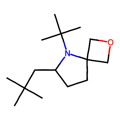 CC(C)(C)CC1CCC2(COC2)N1C(C)(C)C